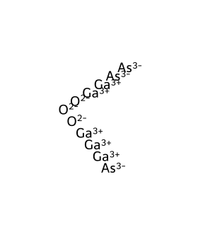 [As-3].[As-3].[As-3].[Ga+3].[Ga+3].[Ga+3].[Ga+3].[Ga+3].[O-2].[O-2].[O-2]